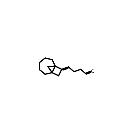 O=CCCC=C1CC23CCCCCC12C3